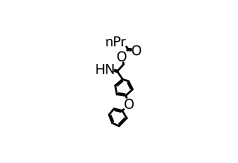 CCCC(=O)OCC(=N)c1ccc(Oc2ccccc2)cc1